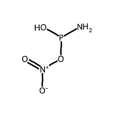 NP(O)O[N+](=O)[O-]